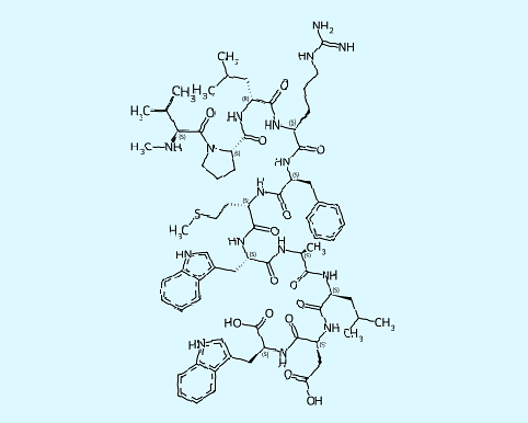 CN[C@H](C(=O)N1CCC[C@H]1C(=O)N[C@H](CC(C)C)C(=O)N[C@@H](CCCNC(=N)N)C(=O)N[C@@H](Cc1ccccc1)C(=O)N[C@@H](CCSC)C(=O)N[C@@H](Cc1c[nH]c2ccccc12)C(=O)N[C@@H](C)C(=O)N[C@@H](CC(C)C)C(=O)N[C@@H](CC(=O)O)C(=O)N[C@@H](Cc1c[nH]c2ccccc12)C(=O)O)C(C)C